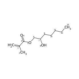 C=C(C)C(=O)OCC(O)CCCCC